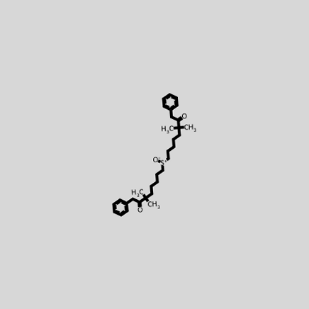 CC(C)(CCCCC[S+]([O-])CCCCCC(C)(C)C(=O)Cc1ccccc1)C(=O)Cc1ccccc1